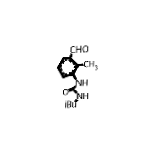 CCC(C)NC(=O)Nc1cccc(C=O)c1C